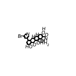 NC(=O)C1=C(O)C[C@@H]2C[C@@H]3Cc4c(-c5cncc(Br)c5)ccc(O)c4C(=O)C3=C(O)[C@]2(O)C1=O